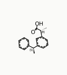 C[C@@H](c1ccccc1)c1cccc([C@@H](C)C(=O)O)c1